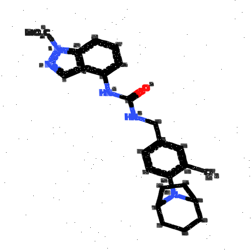 CCOC(=O)n1ncc2c(NC(=O)NCc3ccc(N4C5CCCC4CC5)c(C(F)(F)F)c3)cccc21